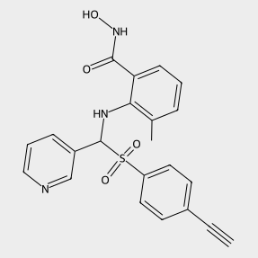 C#Cc1ccc(S(=O)(=O)C(Nc2c(C)cccc2C(=O)NO)c2cccnc2)cc1